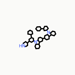 C1CCC(C2CC(C3CCNCC3)CC(N3C4CCCCC4C4CC(C5CCC6C7CCCCC7N(C7CCCC(C8CCCCC8)C7)C6C5)CCC43)C2)CC1